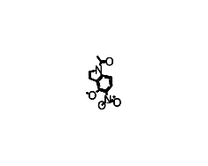 COc1c([N+](=O)[O-])ccc2c1CCN2C(C)=O